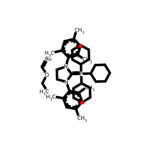 CCO[CH]=[Ru].Cc1cc(C)c(N2CCN(c3c(C)cc(C)cc3C)C2=P(C2CCCCC2)(C2CCCCC2)C2CCCCC2)c(C)c1